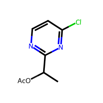 CC(=O)OC(C)c1nccc(Cl)n1